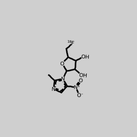 Cc1ncc([N+](=O)[O-])n1C1OC(C[18F])C(O)C1O